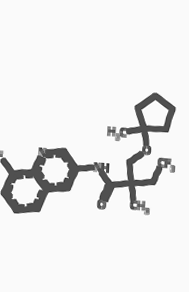 CC1(OCC(C)(CC(F)(F)F)C(=O)Nc2cnc3c(F)cccc3c2)CCCC1